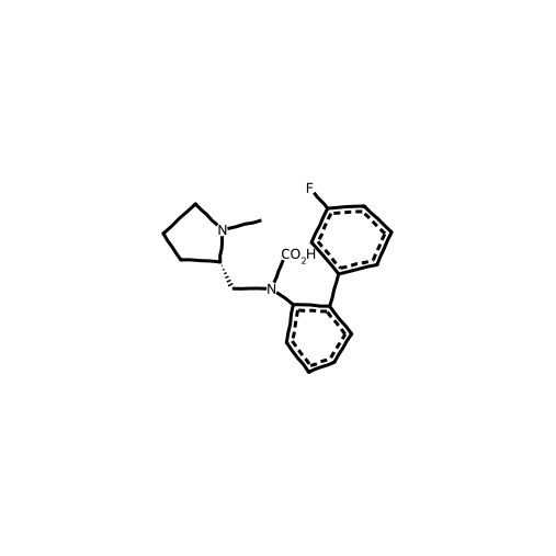 CN1CCC[C@H]1CN(C(=O)O)c1ccccc1-c1cccc(F)c1